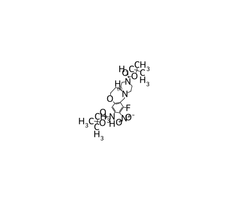 CC(C)(C)OC(=O)Nc1cc2c(c(F)c1[N+](=O)[O-])CN1CCN(C(=O)OC(C)(C)C)C[C@@H]1CCO2